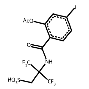 CC(=O)Oc1cc(I)ccc1C(=O)NC(CS(=O)(=O)O)(C(F)(F)F)C(F)(F)F